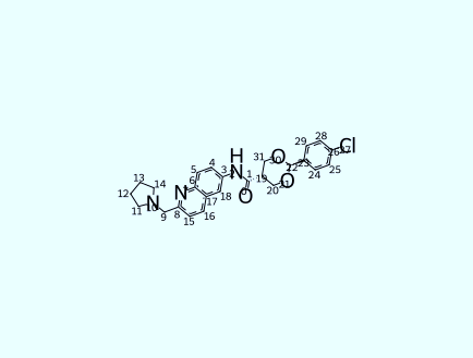 O=C(Nc1ccc2nc(CN3CCCC3)ccc2c1)[C@H]1CO[C@H](c2ccc(Cl)cc2)OC1